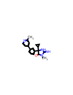 Cc1cc(-c2cccc(C3(C4CC4)NC(=N)N(C)C3=O)c2)ccn1